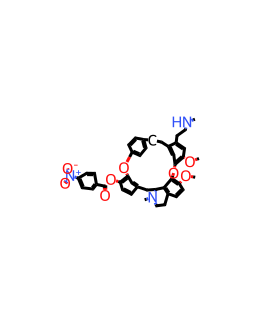 CNCCc1cc(OC)c2cc1CCc1ccc(cc1)Oc1cc(ccc1OC(=O)c1ccc([N+](=O)[O-])cc1)CC1c3c(ccc(OC)c3O2)CCN1C